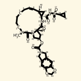 CN1CCCCC/C=C\[C@@H]2C[C@@]2(C(=O)NS(=O)(=O)C2CC2)NC(=O)[C@@H]2C[C@@H](OC(=O)N3Cc4cc5c(cc4C3)OCO5)CN2C1=O